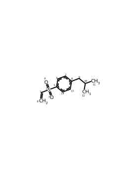 C=CS(=O)(=O)c1ccc(CC(C)C)cc1